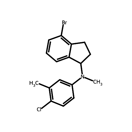 Cc1cc(N(C)C2CCc3c(Br)cccc32)ccc1Cl